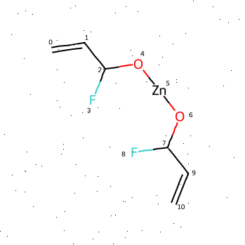 C=CC(F)[O][Zn][O]C(F)C=C